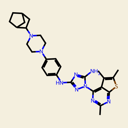 Cc1nc(-n2nc(Nc3ccc(N4CCN(C5CC6CCC5C6)CC4)cc3)nc2N)c2c(C)c(C)sc2n1